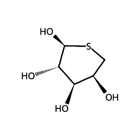 O[C@H]1[C@H](O)[C@@H](O)SC[C@H]1O